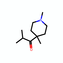 CC(C)C(=O)C1(C)CCN(C)CC1